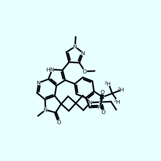 [2H]C([2H])([2H])n1ncc2cc(-c3c(-c4cn(C)nc4OC)[nH]c4ncc5c(c34)C3(CC4(CN(S(=O)(=O)CC)C4)C3)C(=O)N5C)ccc21